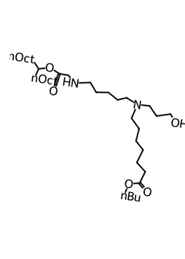 CCCCCCCCC(CCCCCCCC)OC(=O)CNCCCCCN(CCCO)CCCCCCC(=O)OCCCC